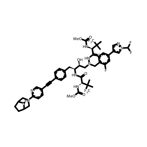 CCN1C2CCC1CN(c1ccc(C#Cc3ccc(C[C@H](NC(=O)[C@@H](NC(=O)OC)C(C)(C)C(F)(F)F)[C@@H](O)CN(Cc4c(F)cc(-c5cnn(C(F)F)c5)cc4F)NC(=O)[C@@H](NC(=O)OC)C(C)(C)C(F)(F)F)cc3)cn1)C2